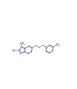 CCc1nc2ccc(CCCc3cccc(C(F)(F)F)c3)cc2n1C